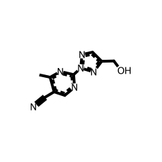 Cc1nc(-n2ncc(CO)n2)ncc1C#N